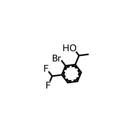 CC(O)c1cccc(C(F)F)c1Br